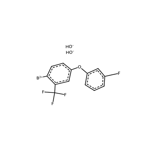 [B+2]c1ccc(Oc2cccc(F)c2)cc1C(F)(F)F.[OH-].[OH-]